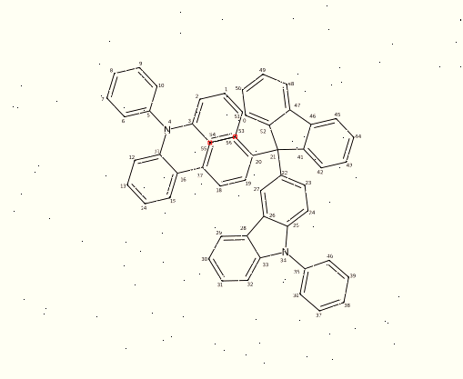 c1ccc(N(c2ccccc2)c2ccccc2-c2ccc(C3(c4ccc5c(c4)c4ccccc4n5-c4ccccc4)c4ccccc4-c4ccccc43)cc2)cc1